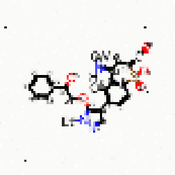 CCn1ncc(-c2ccc3c(c2C)C(=NOC)CC(=C=O)S3(=O)=O)c1OCC(=O)c1ccccc1